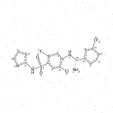 N[C@H](Nc1cc(F)c(S(=O)(=O)Nc2nccs2)cc1Cl)c1cccc(C(F)(F)F)c1